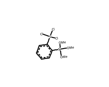 CO[Si](OC)(OC)c1ccccc1[Si](Cl)(Cl)Cl